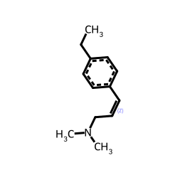 CCc1ccc(/C=C\CN(C)C)cc1